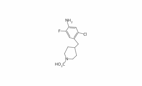 Nc1cc(Cl)c(CC2CCN(C(=O)O)CC2)cc1F